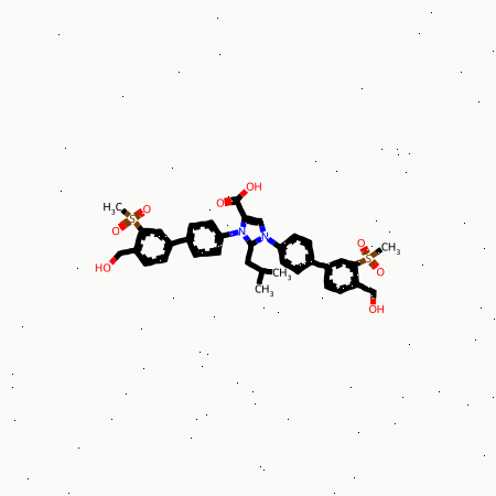 CC(C)CC1N(c2ccc(-c3ccc(CO)c(S(C)(=O)=O)c3)cc2)C=C(C(=O)O)N1c1ccc(-c2ccc(CO)c(S(C)(=O)=O)c2)cc1